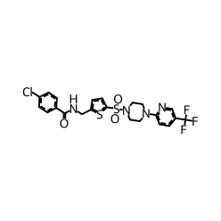 O=C(NCc1ccc(S(=O)(=O)N2CCN(c3ccc(C(F)(F)F)cn3)CC2)s1)c1ccc(Cl)cc1